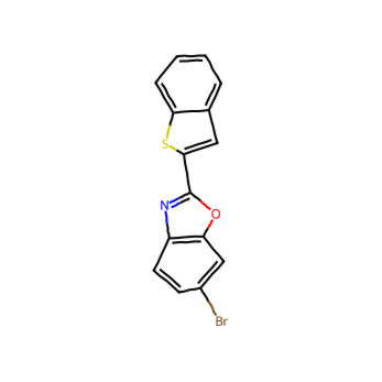 Brc1ccc2nc(-c3cc4ccccc4s3)oc2c1